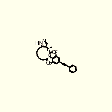 CN1C(=O)N(c2c(F)cc(C#Cc3ccccc3)cc2F)C(=O)CCCCCc2[nH]ncc21